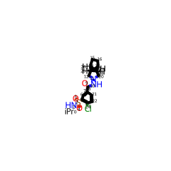 CC(C)NS(=O)(=O)c1cc(C(=O)NN2C[C@@H]3[C@H]4CC[C@H](C4)[C@@H]3C2)ccc1Cl